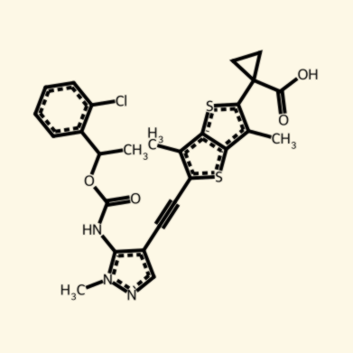 Cc1c(C#Cc2cnn(C)c2NC(=O)OC(C)c2ccccc2Cl)sc2c(C)c(C3(C(=O)O)CC3)sc12